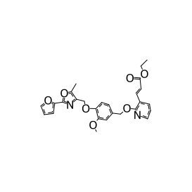 CCOC(=O)/C=C/c1cccnc1OCc1ccc(OCc2nc(-c3ccco3)oc2C)c(OC)c1